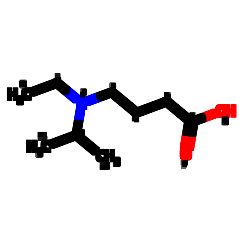 CCN(CCCC(=O)O)C(C)C